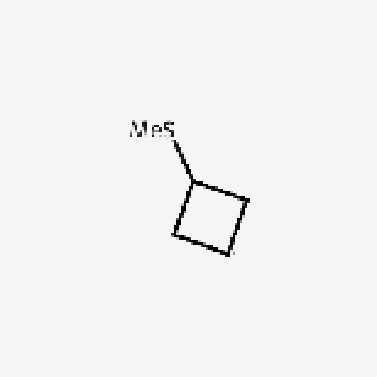 CSC1C[CH]C1